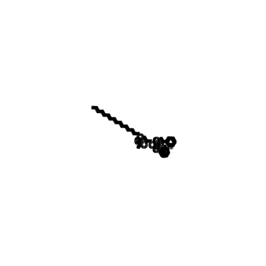 CCCCCCCCCCCCCCCCOCC(COP(=O)([O-])OC(C)c1ccccc1[N+]12CCC(CC1)CC2)OC(C)=O